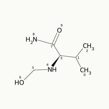 CC(C)[C@@H](NCO)C(N)=O